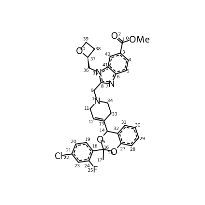 COC(=O)c1ccc2nc(CN3CC=C(C4OC(C)(c5ccc(Cl)cc5F)Oc5ccccc54)CC3)n(C[C@@H]3CCO3)c2c1